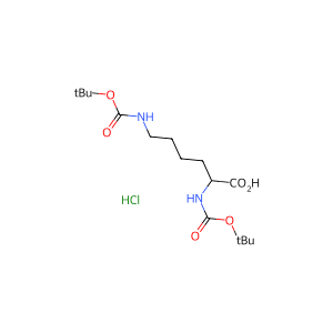 CC(C)(C)OC(=O)NCCCCC(NC(=O)OC(C)(C)C)C(=O)O.Cl